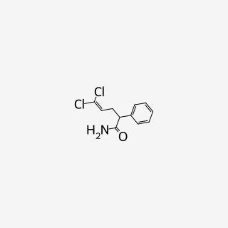 NC(=O)C(CC=C(Cl)Cl)c1ccccc1